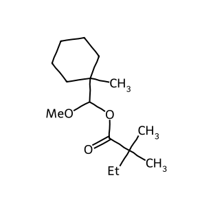 CCC(C)(C)C(=O)OC(OC)C1(C)CCCCC1